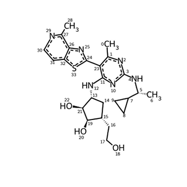 Cc1nc(N[C@H](C)C2CC2)nc(N[C@@H]2C[C@H](CCO)[C@@H](O)[C@H]2O)c1-c1nc2c(C)nccc2s1